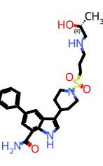 C[C@@H](O)CNCCCS(=O)(=O)N1CCC(c2c[nH]c3c(C(N)=O)cc(-c4ccccc4)cc23)CC1